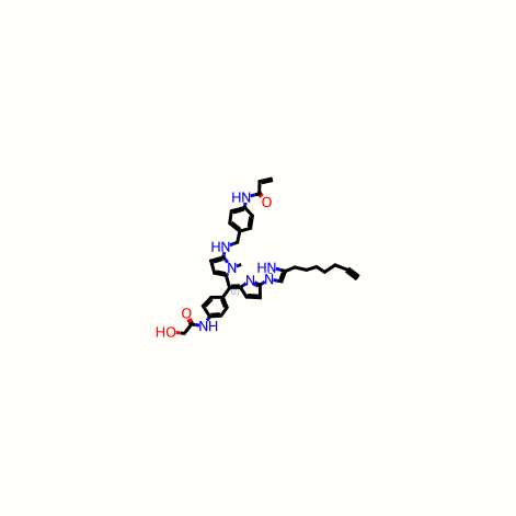 C#CCCCCCc1cn(C2=N/C(=C(/c3ccc(NC(=O)CO)cc3)c3ccc(NCc4ccc(NC(=O)C=C)cc4)n3C)C=C2)[nH]1